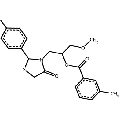 COCC(CN1C(=O)CSC1c1ccc(F)cc1)OC(=O)c1cccc(C)c1